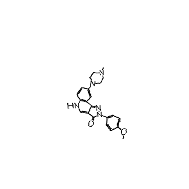 COc1ccc(-n2nc3c4cc(N5CCN(C)CC5)ccc4[nH]cc-3c2=O)cc1